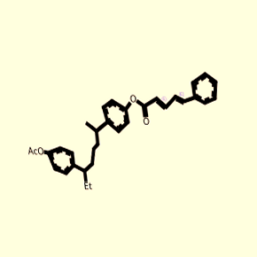 CCC(CCCC(C)c1ccc(OC(=O)/C=C/C=C/c2ccccc2)cc1)c1ccc(OC(C)=O)cc1